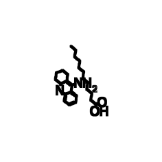 CCCCCCCCCCCC(=O)O.Nc1c2c(nc3ccccc13)CCCC2